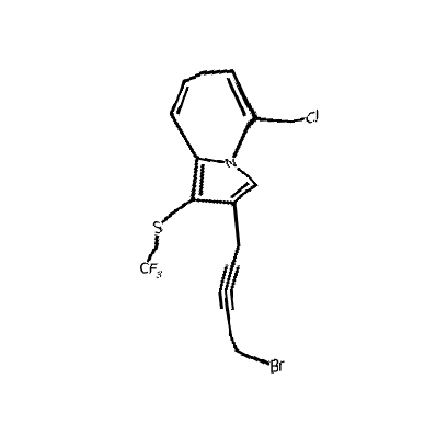 FC(F)(F)Sc1c(C#CCBr)cn2c(Cl)cccc12